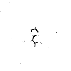 COC(c1ncc(F)cn1)C(C)SN